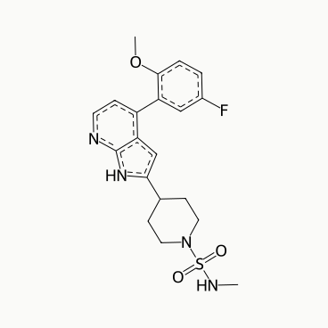 CNS(=O)(=O)N1CCC(c2cc3c(-c4cc(F)ccc4OC)ccnc3[nH]2)CC1